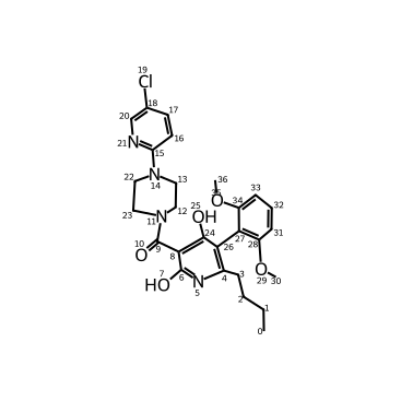 CCCCc1nc(O)c(C(=O)N2CCN(c3ccc(Cl)cn3)CC2)c(O)c1-c1c(OC)cccc1OC